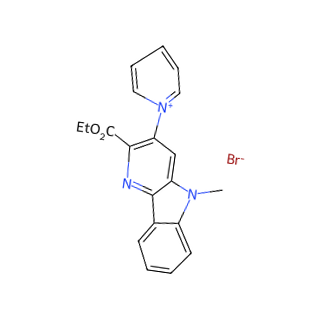 CCOC(=O)c1nc2c3ccccc3n(C)c2cc1-[n+]1ccccc1.[Br-]